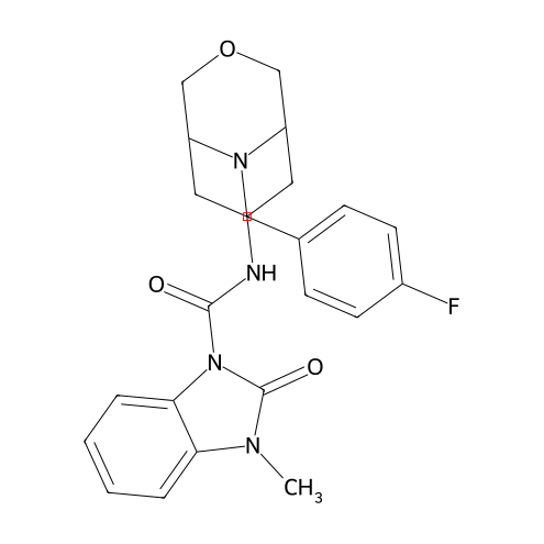 Cn1c(=O)n(C(=O)NC2CC3COCC(C2)N3Cc2ccc(F)cc2)c2ccccc21